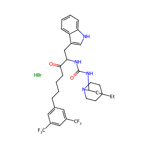 Br.CCC12CCN(CC1)C(NC(=O)NC(Cc1c[nH]c3ccccc13)C(=O)CCCCc1cc(C(F)(F)F)cc(C(F)(F)F)c1)C2